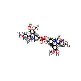 CCOc1cc2c(cc1OC)C(c1ccc(OC)nc1OC)=N[C@@H]1CC[C@@H](OC(=O)C(=O)O[C@@H]3CC[C@H]4N=C(c5ccc(OC)nc5OC)c5cc(OC)c(OCC)cc5[C@H]4C3)C[C@H]21